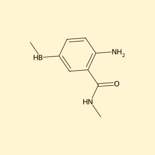 CBc1ccc(N)c(C(=O)NC)c1